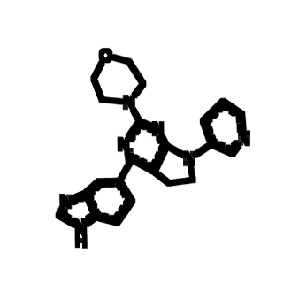 c1cncc(N2CCc3c(-c4ccc5[nH]cnc5c4)nc(N4CCOCC4)nc32)c1